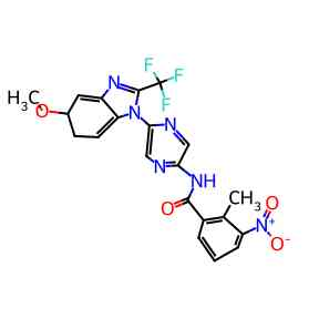 COC1C=c2nc(C(F)(F)F)n(-c3cnc(NC(=O)c4cccc([N+](=O)[O-])c4C)cn3)c2=CC1